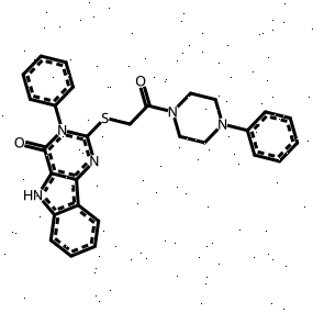 O=C(CSc1nc2c([nH]c3ccccc32)c(=O)n1-c1ccccc1)N1CCN(c2ccccc2)CC1